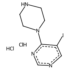 Cl.Cl.Ic1cncnc1N1CCNCC1